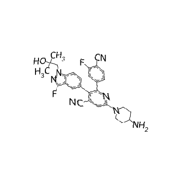 CC(C)(O)Cn1nc(F)c2cc(-c3c(C#N)cc(N4CCC(N)CC4)nc3-c3ccc(C#N)c(F)c3)ccc21